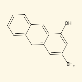 Bc1cc(O)c2cc3ccccc3cc2c1